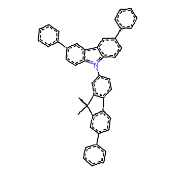 CC1(C)c2cc(-c3ccccc3)ccc2-c2ccc(-n3c4ccc(-c5ccccc5)cc4c4cc(-c5ccccc5)ccc43)cc21